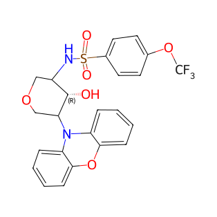 O=S(=O)(NC1COCC(N2c3ccccc3Oc3ccccc32)[C@H]1O)c1ccc(OC(F)(F)F)cc1